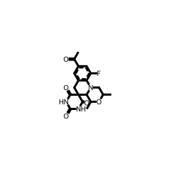 CC(=O)c1cc(F)c2c(c1)CC1(C(=O)NC(=O)NC1=O)C1C(C)OC(C)CN21